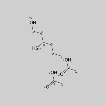 CC(=O)O.CC(=O)O.CCCC(S)CCO